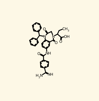 CCC(C(=O)O)N1CC(=O)N(C(c2ccccc2)c2ccccc2)c2ccc(NC(=O)c3ccc(C(=N)N)cc3)cc2C1=O